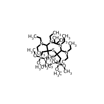 CCN(CC)C(N(CC)CC)C(C)(C[Si](OC)(OC)OC)SC(C)(C[Si](OC)(OC)OC)C(N(CC)CC)N(CC)CC